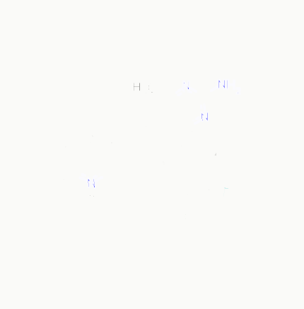 Cc1nc(N)nc(-c2ccc(Cl)c(F)c2)c1C#Cc1cccnc1